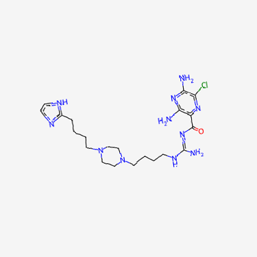 N/C(=N\C(=O)c1nc(Cl)c(N)nc1N)NCCCCN1CCN(CCCCc2ncc[nH]2)CC1